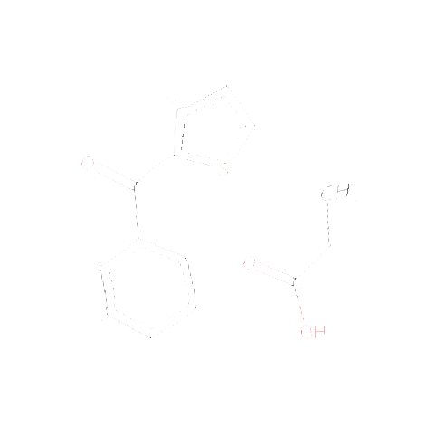 CCC(=O)O.O=C(c1ccccc1)c1cccs1